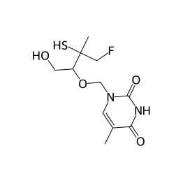 Cc1cn(COC(CO)C(C)(S)CF)c(=O)[nH]c1=O